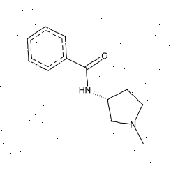 CN1CC[C@@H](NC(=O)c2ccccc2)C1